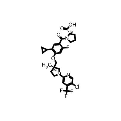 C[C@]1(COc2cc(F)c(C(=O)N3CCC[C@H]3C(=O)O)cc2C2CC2)CCN(c2cc(C(F)(F)F)c(Cl)cn2)C1